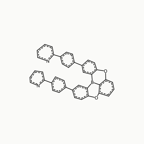 c1ccc(-c2ccc(-c3ccc4c(c3)B3c5cc(-c6ccc(-c7ccccn7)cc6)ccc5Oc5cccc(c53)O4)cc2)nc1